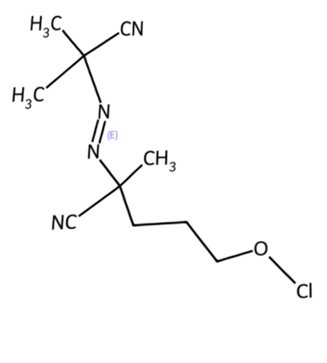 CC(C)(C#N)/N=N/C(C)(C#N)CCCOCl